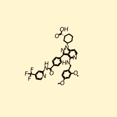 COc1ccc(CNc2nccc3c2c(-c2ccc(C(=O)Nc4cc(C(F)(F)F)ccn4)cc2)nn3[C@@H]2CCC[C@@H](C(=O)O)C2)c(OC)c1